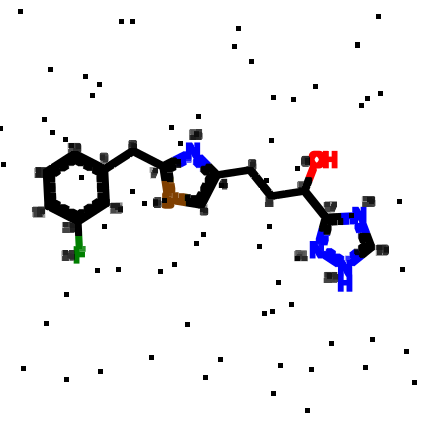 OC(CCc1csc(Cc2cccc(F)c2)n1)c1nc[nH]n1